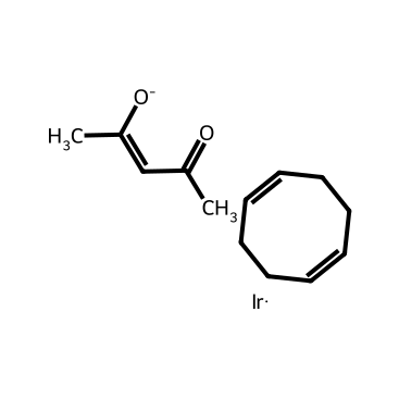 C1=C\CC/C=C\CC/1.CC(=O)/C=C(/C)[O-].[Ir]